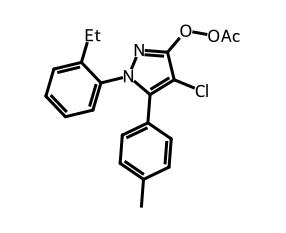 CCc1ccccc1-n1nc(OOC(C)=O)c(Cl)c1-c1ccc(C)cc1